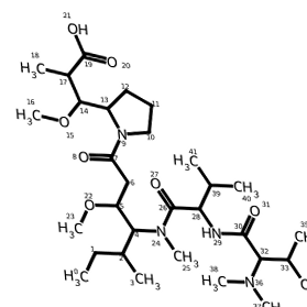 CCC(C)C(C(CC(=O)N1CCCC1C(OC)C(C)C(=O)O)OC)N(C)C(=O)C(NC(=O)C(C(C)C)N(C)C)C(C)C